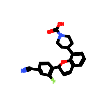 N#Cc1ccc(C2C=Cc3cccc(C4CCN(C(=O)O)CC4)c3O2)c(F)c1